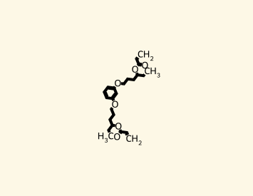 C=CC(=O)OC(CC)CCCOc1cccc(OCCCC(CC)OC(=O)C=C)c1